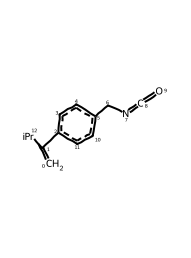 C=C(c1ccc(CN=C=O)cc1)C(C)C